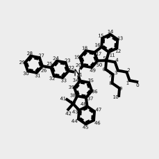 CCCCCC1(CCCCC)c2ccccc2-c2ccc(N(c3ccc(-c4ccccc4)cc3)c3ccc4c(c3)C(C)(C)c3ccccc3-4)cc21